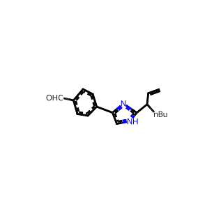 C=CC(CCCC)c1nc(-c2ccc(C=O)cc2)c[nH]1